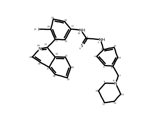 S=C(Nc1ccc(CN2CCCCC2)cc1)Nc1ccc(I)c(-c2nccc3ccccc23)c1